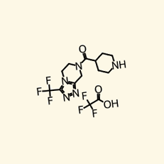 O=C(C1CCNCC1)N1CCn2c(nnc2C(F)(F)F)C1.O=C(O)C(F)(F)F